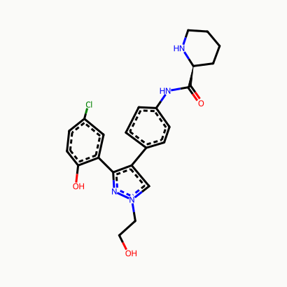 O=C(Nc1ccc(-c2cn(CCO)nc2-c2cc(Cl)ccc2O)cc1)[C@@H]1CCCCN1